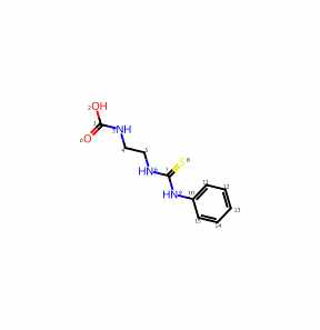 O=C(O)NCCNC(=S)Nc1ccccc1